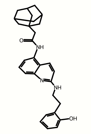 O=C(CC12CC3CC(CC(C3)C1)C2)Nc1cccc2nc(NCCc3ccccc3O)ccc12